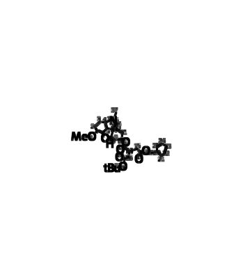 COc1ccc2c3c1O[C@H]1C[C@H](OC(=O)[C@@H](CC(=O)OCc4ccccc4)CC(=O)OC(C)(C)C)C=C[C@@]31CCN(C)C2